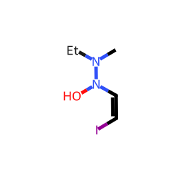 CCN(C)N(O)/C=C\I